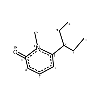 CCC(CC)c1cccc(=O)n1C